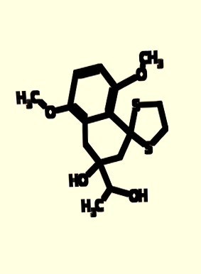 COc1ccc(OC)c2c1CC(O)(C(C)O)CC21SCCS1